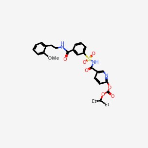 CCC(CC)OC(=O)Oc1ccc(C(=O)NS(=O)(=O)c2cccc(C(=O)NCCc3ccccc3OC)c2)cn1